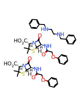 CC1(C)S[C@@H]2[C@H](NC(=O)COc3ccccc3)C(=O)N2[C@H]1C(=O)O.CC1(C)S[C@@H]2[C@H](NC(=O)COc3ccccc3)C(=O)N2[C@H]1C(=O)O.c1ccc(CNCCNCc2ccccc2)cc1